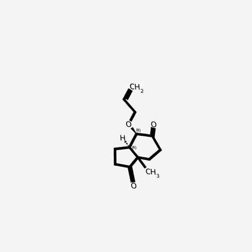 C=CCO[C@H]1C(=O)CCC2(C)C(=O)CC[C@@H]12